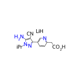 CC(C)n1nc(-c2ccc(CC(=O)O)nc2)c(C#N)c1N.[LiH]